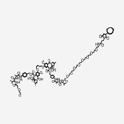 COCCOCCC(=O)N[C@H](C(=O)N[C@@H](C)C(=O)Nc1ccc(COC(=O)N2c3cc(OCCCCCOc4cc5c(cc4OC)C(=O)N4C=C(C)C[C@H]4[C@H](O)N5C(=O)OCc4ccc(NC(=O)[C@H](C)NC(=O)[C@@H](NC(=O)CCOCCOCCOCCOCCOCCOCCOCCOCCNC(=O)CCN5C(=O)CC(c6ccccccccc6)C5=O)C(C)C)cc4)c(OC)cc3C(O)N3C=C(C)C[C@H]3[C@@H]2O)cc1)C(C)C